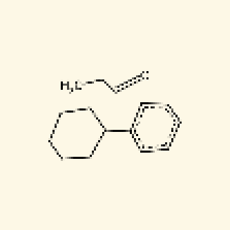 CCC=O.c1ccc(C2CCCCC2)cc1